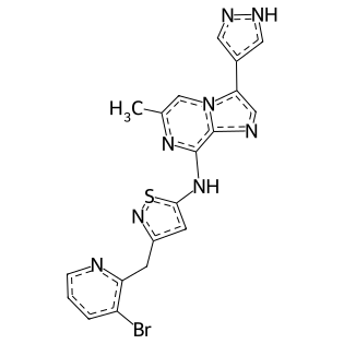 Cc1cn2c(-c3cn[nH]c3)cnc2c(Nc2cc(Cc3ncccc3Br)ns2)n1